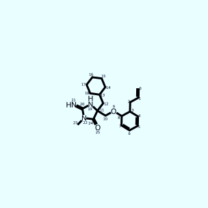 C=CCC1C=CC=CC1OCC1(CC2CCCCC2)NC(=N)N(C)C1=O